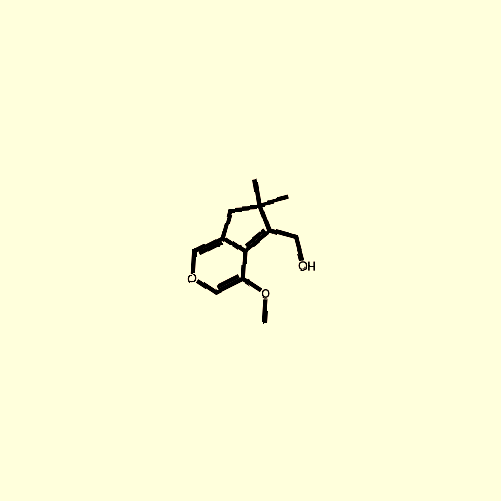 COC1=COC=C2CC(C)(C)C(CO)=C21